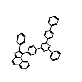 c1ccc(-c2ccc(-c3cc(-c4ccc(-c5c(-c6ccccn6)nc6ccc7ccccc7n56)cc4)nc(-c4ccccc4)n3)cc2)cc1